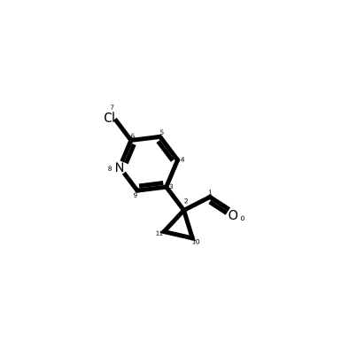 O=CC1(c2ccc(Cl)nc2)CC1